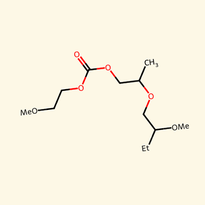 CCC(COC(C)COC(=O)OCCOC)OC